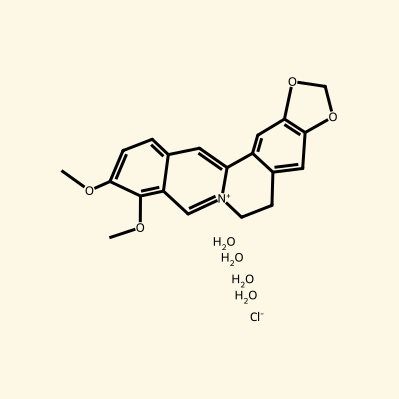 COc1ccc2cc3[n+](cc2c1OC)CCc1cc2c(cc1-3)OCO2.O.O.O.O.[Cl-]